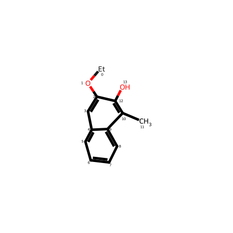 CCOc1cc2ccccc2c(C)c1O